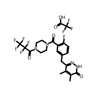 Cc1c(Cc2ccc(F)c(C(=O)N3CCN(C(=O)C(F)(F)C(F)(F)F)CC3)c2)n[nH]c(=O)c1C.O=C(O)C(F)(F)F